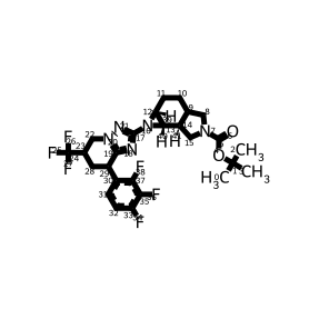 CC(C)(C)OC(=O)N1CC2CC[C@@H]3[C@H]([C@@H]2C1)N3c1nc2n(n1)CC(C(F)(F)F)CC2c1ccc(F)c(F)c1F